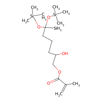 C=C(C)C(=O)OCC(O)CCCC([SiH3])(O[Si](C)(C)C)O[Si](C)(C)C